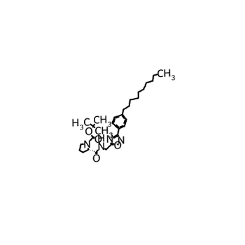 CCCCCCCCCCc1ccc(-c2noc(CNC(=O)[C@@H]3CCCN3C(=O)OC(C)(C)C)n2)cc1